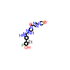 CCc1cc(O)c(F)cc1-c1ccc2c(-c3nc4c([nH]3)CCN(C(=O)c3cnc(N5CC[S+]([O-])CC5)cn3)C4)n[nH]c2c1